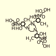 Cc1cc(CN2CCCN(Cc3cc(C)cc(NC(=O)C(O)CO)c3O)CCN(Cc3cc(C)cc(NC(=O)C(O)CO)c3O)CC2)c(O)c(NC(=O)C(O)CO)c1